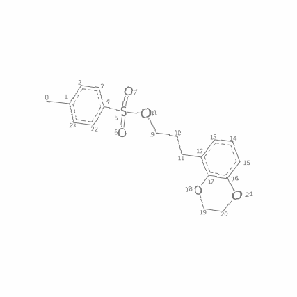 Cc1ccc(S(=O)(=O)OCCCc2cccc3c2OCCO3)cc1